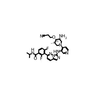 CC(C)NC(=O)c1ccc(F)c(-c2ccc3cnc(Nc4cnccc4N4C[C@@H](N)[C@@H](OCCC#N)[C@@H](C)C4)n3n2)c1F